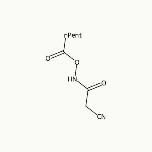 CCCCCC(=O)ONC(=O)CC#N